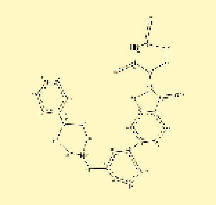 O=C1CCC(N2Cc3cc(-c4cc(CN5CCN(c6ccncc6)CC5)ccn4)ccc3C2=O)C(=O)N1